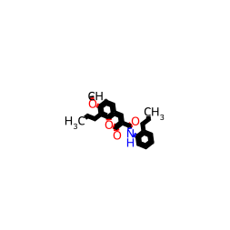 CCCc1ccccc1NC(=O)c1cc2ccc(OC)c(CCC)c2oc1=O